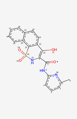 Cc1cccc(NC(=O)C2=C(O)c3ccc4ccccc4c3S(=O)(=O)N2)n1